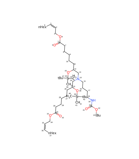 CCCCCC/C=C\COC(=O)CCCCCC(CN(CCCCNC(=O)OC(C)(C)C)CC(CCCCCC(=O)OC/C=C\CCCCCC)O[Si](C)(C)C(C)(C)C)O[Si](C)(C)C(C)(C)C